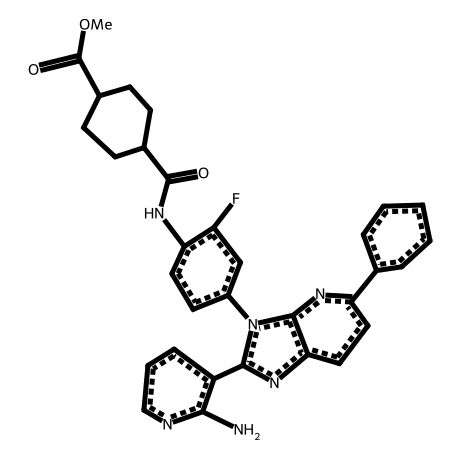 COC(=O)C1CCC(C(=O)Nc2ccc(-n3c(-c4cccnc4N)nc4ccc(-c5ccccc5)nc43)cc2F)CC1